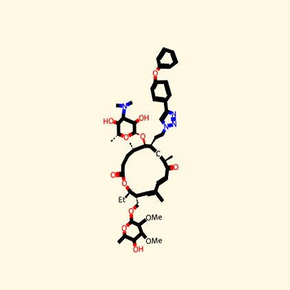 CC[C@H]1OC(=O)CC[C@H](C)[C@@H](O[C@@H]2O[C@H](C)C(O)C(N(C)C)C2O)[C@@H](CCn2cc(-c3ccc(Oc4ccccc4)cc3)nn2)C[C@@H](C)C(=O)/C=C/C(C)=C/[C@@H]1COC1OC(C)C(O)C(OC)C1OC